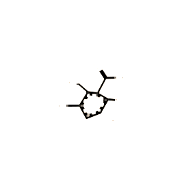 O=C([O-])c1c(Cl)ccc(Cl)c1Cl.[K+]